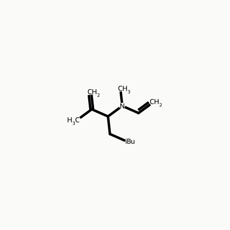 C=CN(C)C(CC(C)CC)C(=C)C